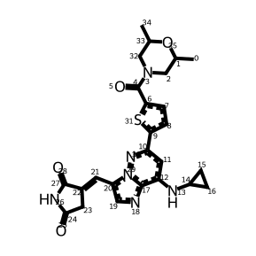 CC1CN(C(=O)c2ccc(-c3cc(NC4CC4)c4ncc(/C=C5\CC(=O)NC5=O)n4n3)s2)CC(C)O1